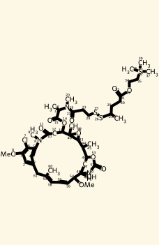 COc1cc2cc(c1Cl)N(C)C(=O)CC(OC(=O)C(C)N(C)C(=O)CCSSC(C)CCC(=O)OCC[Si](C)(C)C)C1(C)OC1C(C)C1CC(O)(NC(=O)O1)C(OC)/C=C/C=C(\C)C2